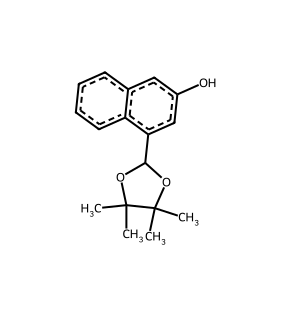 CC1(C)OC(c2cc(O)cc3ccccc23)OC1(C)C